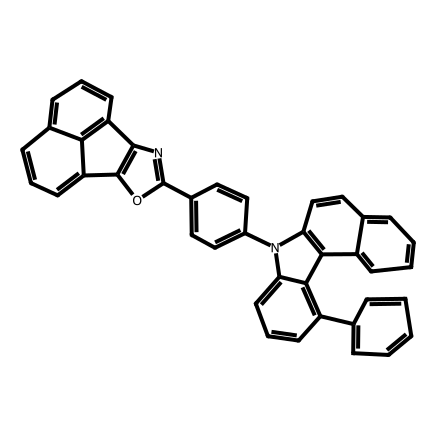 c1ccc(-c2cccc3c2c2c4ccccc4ccc2n3-c2ccc(-c3nc4c(o3)-c3cccc5cccc-4c35)cc2)cc1